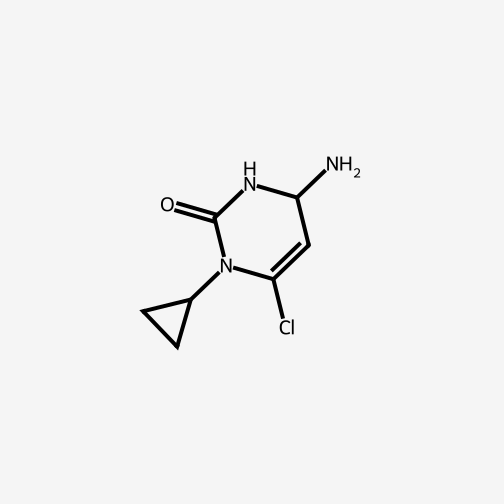 NC1C=C(Cl)N(C2CC2)C(=O)N1